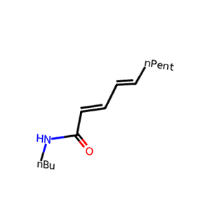 CCCCCC=CC=CC(=O)NCCCC